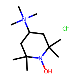 CC1(C)CC([N+](C)(C)C)CC(C)(C)N1O.[Cl-]